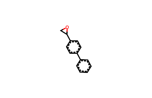 c1ccc(-c2ccc(C3CO3)cc2)cc1